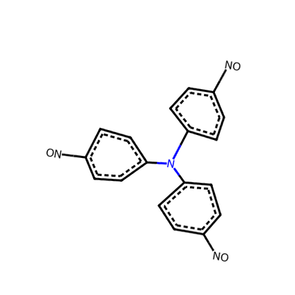 O=Nc1ccc(N(c2ccc(N=O)cc2)c2ccc(N=O)cc2)cc1